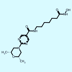 C[C@@H]1CN(c2ncc(C(=O)NCCCCCCC(=O)NO)cn2)C[C@H](C)O1